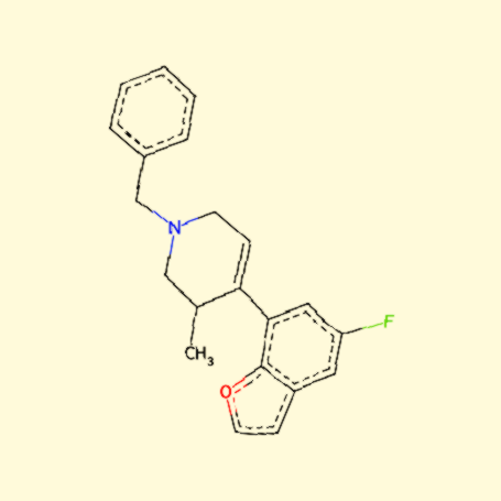 CC1CN(Cc2ccccc2)CC=C1c1cc(F)cc2ccoc12